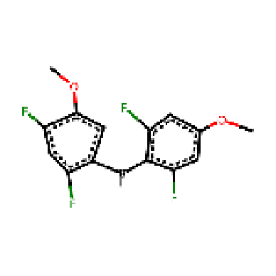 COc1cc(F)c(Bc2cc(OC)c(F)cc2F)c(F)c1